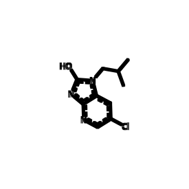 CC(C)Cn1c(O)nc2ncc(Cl)cc21